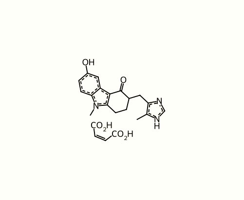 Cc1[nH]cnc1CC1CCc2c(c3cc(O)ccc3n2C)C1=O.O=C(O)/C=C\C(=O)O